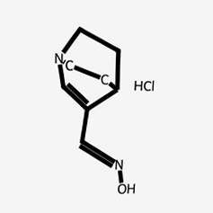 Cl.ON=CC1=CN2CCC1CC2